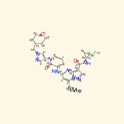 CNc1cc(Nc2cccn(-c3cnn(CC4CCOCC4)c3)c2=O)nc2c(C(=O)N[C@H]3C[C@H]3F)cnn12